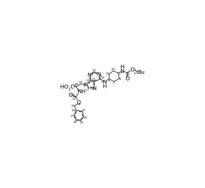 CC(C)(C)OC(=O)NC1CCC(Nc2ncnc3c2ncn3C[C@@H](NC(=O)OCc2ccccc2)C(=O)O)CC1